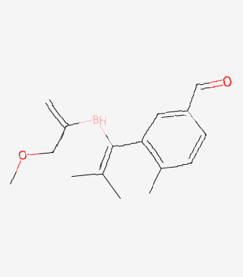 C=C(BC(=C(C)C)c1cc(C=O)ccc1C)COC